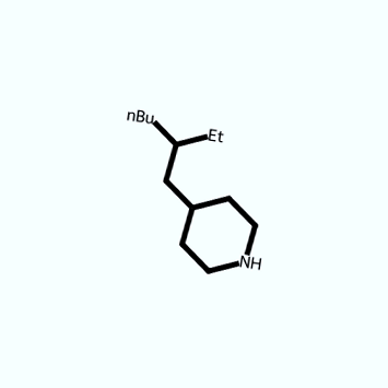 CCCCC(CC)CC1CCNCC1